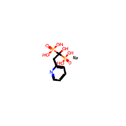 O=P(O)(O)C(O)(Cc1ccccn1)P(=O)(O)O.[Na]